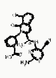 C[C@H](Nc1nc(N)ncc1C#N)c1cc2cccc(Cl)c2c(=O)n1-c1cccc(C(=O)O)c1